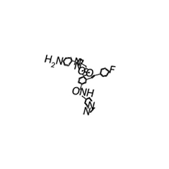 Nc1ccc(-n2ccc(CS(=O)(=O)c3ccc(C(=O)NCc4ccn5ccnc5c4)cc3C#Cc3ccc(F)cc3)n2)cc1